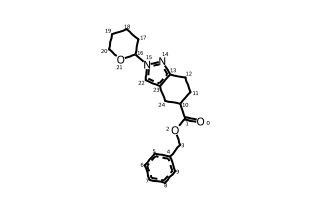 O=C(OCc1ccccc1)C1CCc2nn(C3CCCCO3)cc2C1